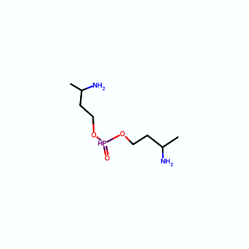 CC(N)CCO[PH](=O)OCCC(C)N